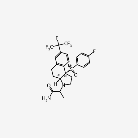 CC(C(N)=O)N1CC[C@@]2(S(=O)(=O)c3ccc(F)cc3)c3ccc(C(F)(C(F)(F)F)C(F)(F)F)cc3CC[C@@H]12